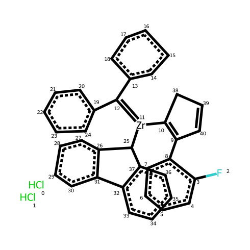 Cl.Cl.Fc1ccccc1C1=[C]([Zr](=[C](c2ccccc2)c2ccccc2)[CH]2c3ccccc3-c3ccccc32)CC=C1